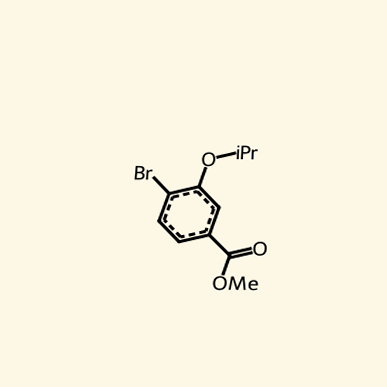 COC(=O)c1ccc(Br)c(OC(C)C)c1